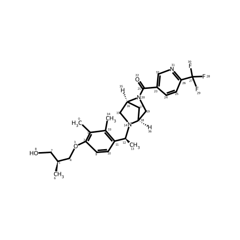 Cc1c(OC[C@@H](C)CO)ccc([C@H](C)N2C[C@@H]3C[C@H]2CN3C(=O)c2ccc(C(F)(F)F)nc2)c1C